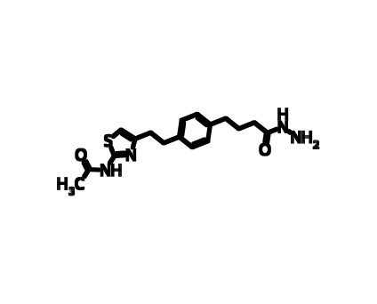 CC(=O)Nc1nc(CCc2ccc(CCCC(=O)NN)cc2)cs1